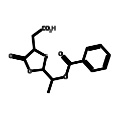 CC(OC(=O)c1ccccc1)C1OC(=O)C(CC(=O)O)S1